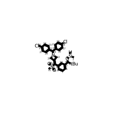 C[SiH](C)OC(c1cccc(C(=C2CN(C(c3ccc(Cl)cc3)c3ccc(Cl)cc3)C2)S(C)(=O)=O)c1)C(C)(C)C